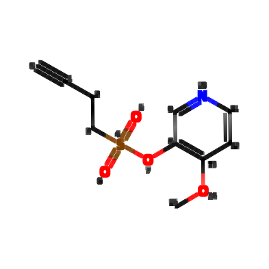 C#CCCS(=O)(=O)Oc1cnccc1OC